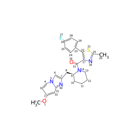 COc1ccn2cc(C[C@@H]3CCCCN3C(=O)c3nc(C)sc3-c3ccc(F)cc3)nc2c1